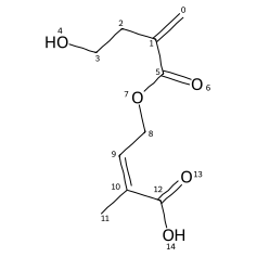 C=C(CCO)C(=O)OCC=C(C)C(=O)O